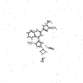 Cc1cn([C@]2(CC#N)C[C@@H](C#N)C2)nc1-c1nc(-c2cc(N)n(C)n2)cc2ncccc12